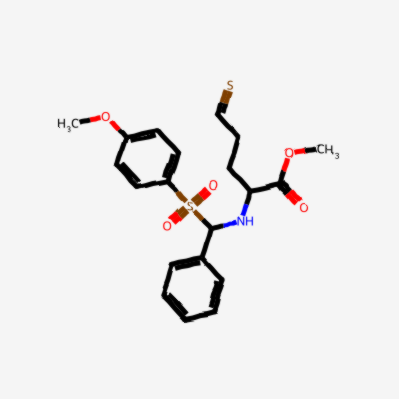 COC(=O)C(CCC=S)NC(c1ccccc1)S(=O)(=O)c1ccc(OC)cc1